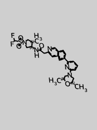 C[C@@H]1CN(c2cccc(-c3ccc4cnc(CC(=O)N[C@H]5CN(S(=O)(=O)C(F)F)C[C@@H]5C)cc4c3)n2)C[C@H](C)O1